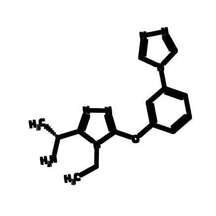 CCn1c(Oc2cccc(-n3cnnc3)c2)nnc1[C@@H](C)N